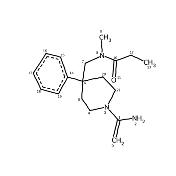 C=C(N)N1CCC(CN(C)C(=O)CC)(c2ccccc2)CC1